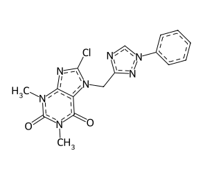 Cn1c(=O)c2c(nc(Cl)n2Cc2ncn(-c3ccccc3)n2)n(C)c1=O